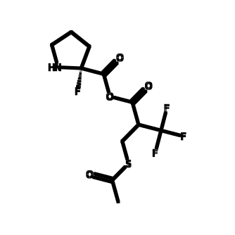 CC(=O)SCC(C(=O)OC(=O)[C@]1(F)CCCN1)C(F)(F)F